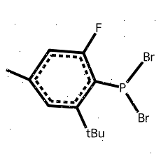 Cc1cc(F)c(P(Br)Br)c(C(C)(C)C)c1